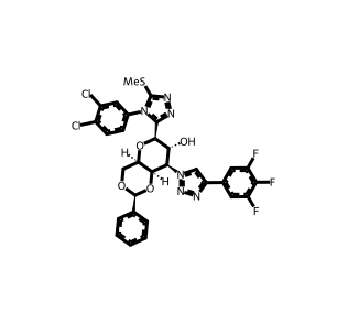 CSc1nnc([C@@H]2O[C@@H]3CO[C@H](c4ccccc4)O[C@@H]3[C@H](n3cc(-c4cc(F)c(F)c(F)c4)nn3)[C@H]2O)n1-c1ccc(Cl)c(Cl)c1